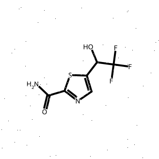 NC(=O)c1ncc(C(O)C(F)(F)F)s1